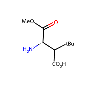 COC(=O)[C@@H](N)C(C(=O)O)C(C)(C)C